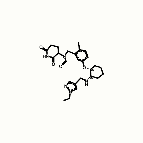 CCn1cc(CN[C@H]2CCCC[C@H]2Oc2ccc(C)c(CN(C=O)C3CCC(=O)NC3=O)c2)cn1